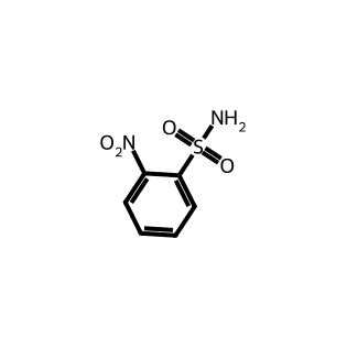 NS(=O)(=O)c1ccccc1[N+](=O)[O-]